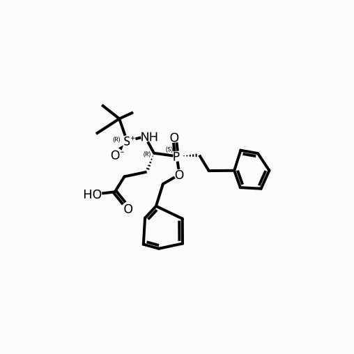 CC(C)(C)[S@+]([O-])N[C@@H](CCC(=O)O)[P@](=O)(CCc1ccccc1)OCc1ccccc1